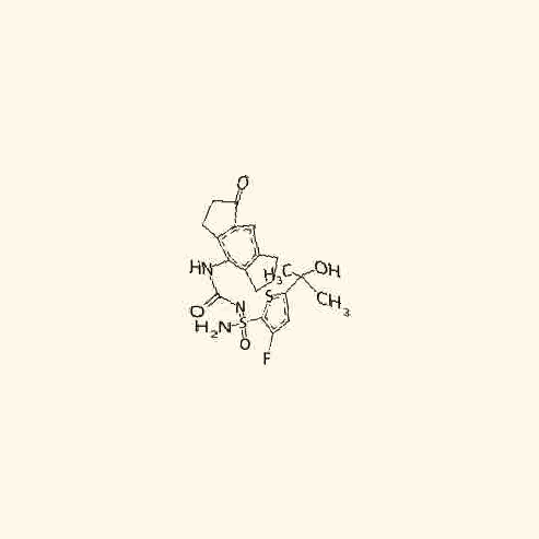 CC(C)(O)c1cc(F)c(S(N)(=O)=NC(=O)Nc2c3c(cc4c2CCC4=O)CCC3)s1